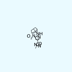 Cc1noc(-c2cnc(NC34CC5CC(CC(C5)C3)C4)c([N+](=O)[O-])c2)n1